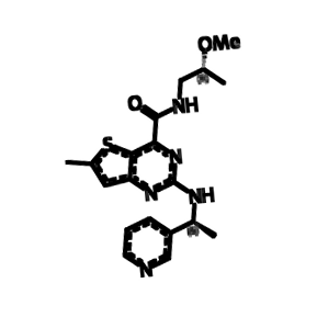 CO[C@H](C)CNC(=O)c1nc(N[C@@H](C)c2cccnc2)nc2cc(C)sc12